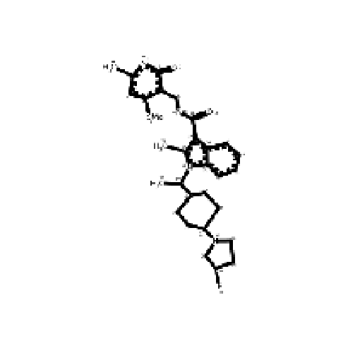 CSc1cc(C)[nH]c(=O)c1CNC(=O)c1c(C)n(C(C)C2CCC(N3CC[C@@H](F)C3)CC2)c2ccccc12